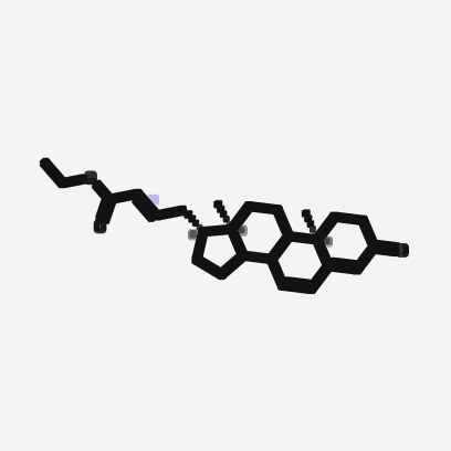 CCOC(=O)/C=C/C[C@H]1CCC2C3C=CC4=CC(=O)CC[C@]4(C)C3CC[C@@]21C